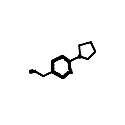 CC(C)(C)Cc1ccc(N2CCCC2)nc1